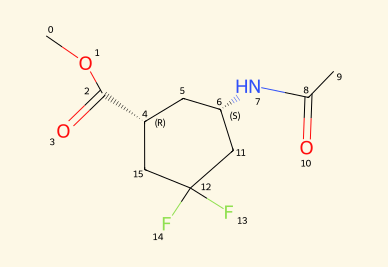 COC(=O)[C@@H]1C[C@H](NC(C)=O)CC(F)(F)C1